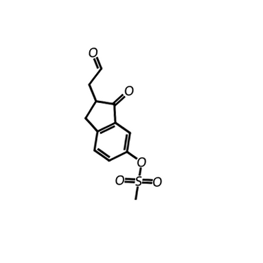 CS(=O)(=O)Oc1ccc2c(c1)C(=O)C(CC=O)C2